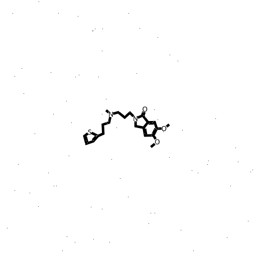 COc1cc2c(cc1OC)C(=O)N(CCCN(C)CCCc1cccs1)C2